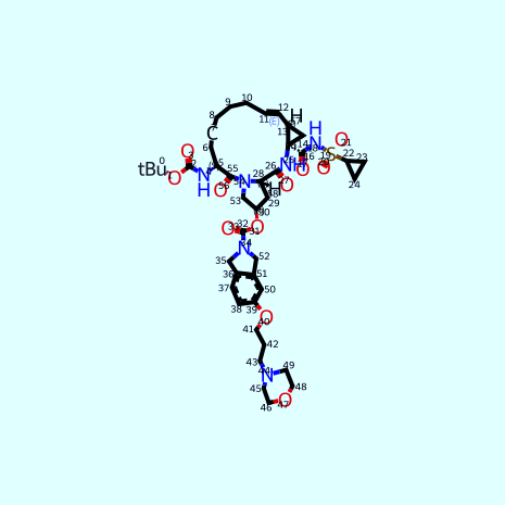 CC(C)(C)OC(=O)N[C@H]1CCCCC/C=C/[C@@H]2C[C@@]2(C(=O)NS(=O)(=O)C2CC2)NC(=O)[C@@H]2C[C@@H](OC(=O)N3Cc4ccc(OCCCN5CCOCC5)cc4C3)CN2C1=O